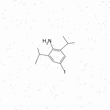 CC(C)c1cc(I)cc(C(C)C)c1N